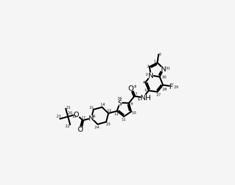 Cc1cn2cc(NC(=O)c3ccc(C4CCN(C(=O)OC(C)(C)C)CC4)s3)cc(F)c2n1